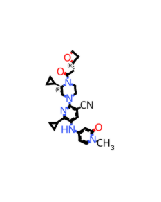 Cn1ccc(Nc2cc(C#N)c(N3CCN(C(=O)C[C@H]4CCO4)[C@H](C4CC4)C3)nc2C2CC2)cc1=O